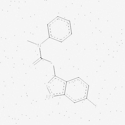 CN(C(=O)Oc1n[nH]c2cc(F)ccc12)c1ccccc1